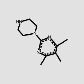 Cc1nc(N2CCNCC2)nc(C)c1C